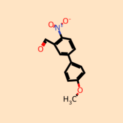 COc1ccc(-c2ccc([N+](=O)[O-])c(C=O)c2)cc1